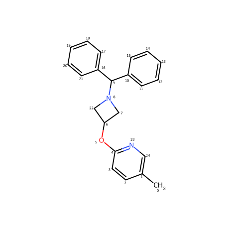 Cc1ccc(OC2CN(C(c3ccccc3)c3ccccc3)C2)nc1